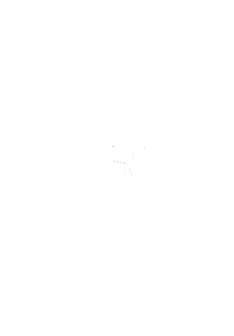 [K+].[O-]O[PH](=S)I